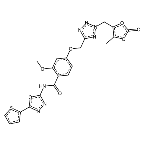 COc1cc(OCc2nnn(Cc3oc(=O)oc3C)n2)ccc1C(=O)Nc1nnc(-c2cccs2)o1